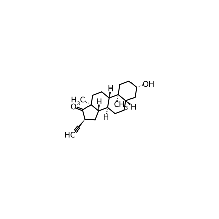 C#C[C@@H]1C[C@H]2[C@@H]3CC[C@H]4C[C@@H](O)CC[C@]4(C)[C@H]3CC[C@]2(C)C1=O